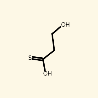 OCCC(O)=S